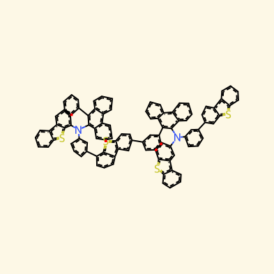 c1ccc(-c2c(N(c3cccc(-c4cccc5c4sc4ccc(-c6cccc(-c7c(N(c8cccc(-c9ccc%10c(c9)sc9ccccc9%10)c8)c8ccc9sc%10ccccc%10c9c8)c8ccccc8c8ccccc78)c6)cc45)c3)c3cccc4c3sc3ccccc34)c3ccccc3c3ccccc23)cc1